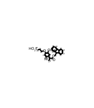 COc1cc(C(C)C(=O)OCC2c3ccccc3-c3ccccc32)c([N+](=O)[O-])cc1OCCCC(=O)O